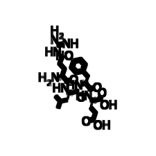 CC(C)C[C@H](NC(=O)[C@@H](N)CCCNC(=N)N)C(=O)N[C@@H](Cc1ccc(O)cc1)C(=O)N[C@@H](CCC(=O)O)C(=O)O